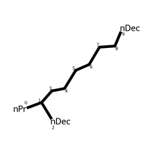 [CH2]CCC(CCCCCCCCCC)CCCCCCCCCCCCCCCC